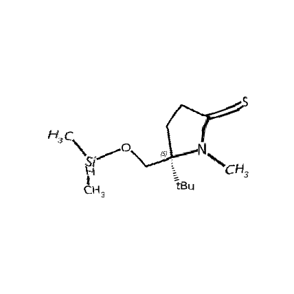 CN1C(=S)CC[C@@]1(CO[SiH](C)C)C(C)(C)C